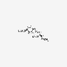 C=N/N=C(/Nc1nc2ccc(C(=O)OCC)cc2o1)OC